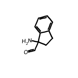 NC1(C=O)CCc2ccccc21